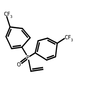 C=CP(=O)(c1ccc(C(F)(F)F)cc1)c1ccc(C(F)(F)F)cc1